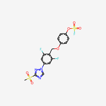 CS(=O)(=O)c1ncn(-c2cc(F)c(COc3ccc(OS(=O)(=O)F)cc3)c(F)c2)n1